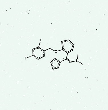 CN(C)/N=C(\c1ccccc1OCc1ccc(F)cc1F)n1ccnc1